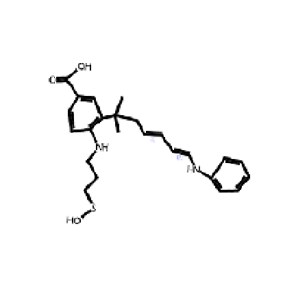 CC(C)(C/C=C/C=C/Nc1ccccc1)c1cc(C(=O)O)ccc1NCCCSO